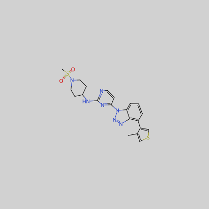 Cc1cscc1-c1cccc2c1nnn2-c1ccnc(NC2CCN(S(C)(=O)=O)CC2)n1